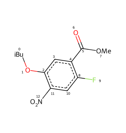 CCC(C)Oc1cc(C(=O)OC)c(F)cc1[N+](=O)[O-]